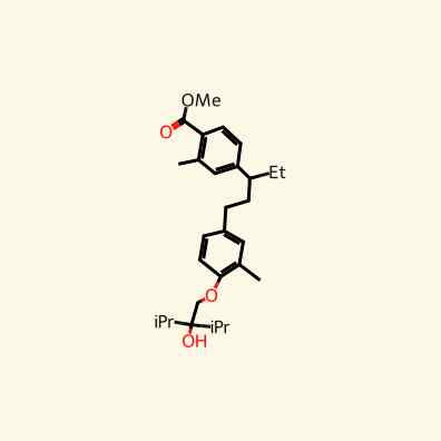 CCC(CCc1ccc(OCC(O)(C(C)C)C(C)C)c(C)c1)c1ccc(C(=O)OC)c(C)c1